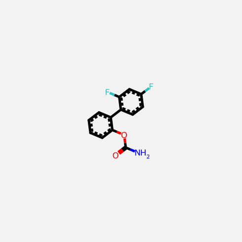 NC(=O)Oc1ccccc1-c1ccc(F)cc1F